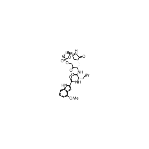 COc1cccc2[nH]c(C(=O)N[C@@H](CC(C)C)C(=O)N[C@@H](C[C@@H]3CCNC3=O)C(=O)COP(=O)(OC(C)(C)C)OC(C)(C)C)cc12